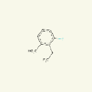 O=C(O)c1cccc(F)c1CC(F)(F)F